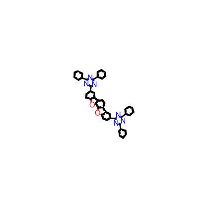 c1ccc(-c2nc(-c3ccccc3)nc(-c3ccc4oc5c(ccc6c7cc(-c8nc(-c9ccccc9)nc(-c9ccccc9)n8)ccc7oc65)c4c3)n2)cc1